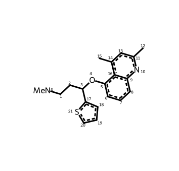 CNCCC(Oc1cccc2nc(C)cc(C)c12)c1cccs1